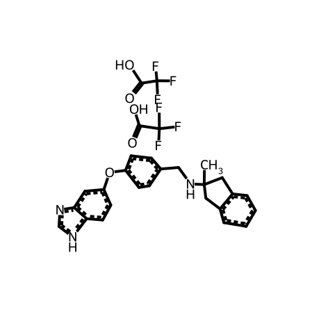 CC1(NCc2ccc(Oc3ccc4[nH]cnc4c3)cc2)Cc2ccccc2C1.O=C(O)C(F)(F)F.O=C(O)C(F)(F)F